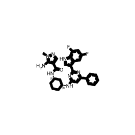 Cn1ncc(C(=O)N[C@H]2CCC[C@@H](Nc3cc(-c4ccccc4)nc(-c4c[nH]c5c(F)cc(F)cc45)n3)C2)c1N